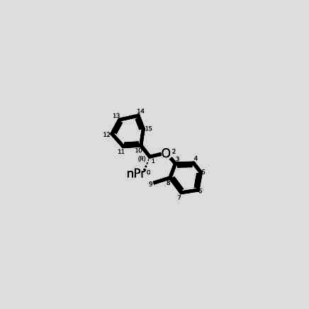 CCC[C@@H](Oc1ccccc1C)c1ccccc1